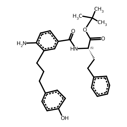 CC(C)(C)OC(=O)[C@H](CCc1ccccc1)NC(=O)c1ccc(N)c(CCCc2ccc(O)cc2)c1